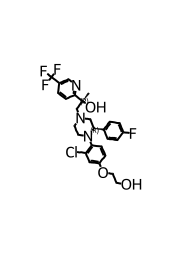 C[C@@](O)(CN1CCN(c2ccc(OCCO)cc2Cl)[C@H](c2ccc(F)cc2)C1)c1ccc(C(F)(F)F)cn1